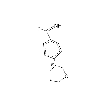 N=C(Cl)c1ccc([C@H]2CCCOC2)cc1